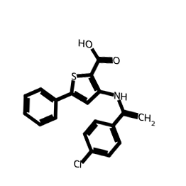 C=C(Nc1cc(-c2ccccc2)sc1C(=O)O)c1ccc(Cl)cc1